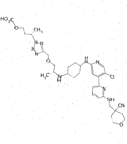 C[C@H](COCc1nnn([C@@H](C)CCOC(=O)O)n1)NC1CCC(Nc2cc(-c3cccc(NCC4(C#N)CCOCC4)n3)c(Cl)cn2)CC1